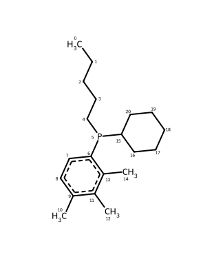 CCCCCP(c1ccc(C)c(C)c1C)C1CCCCC1